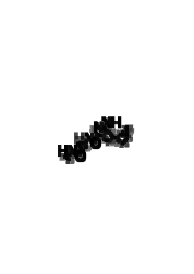 Nc1ncc(C(=O)NC2CN(C(=O)NC3CC3)C2)c2ccc(-c3cccc(F)c3)cc12